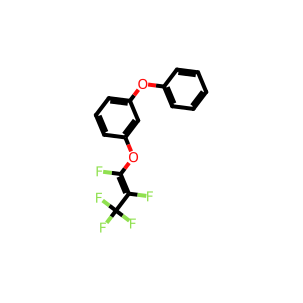 FC(Oc1cccc(Oc2ccccc2)c1)=C(F)C(F)(F)F